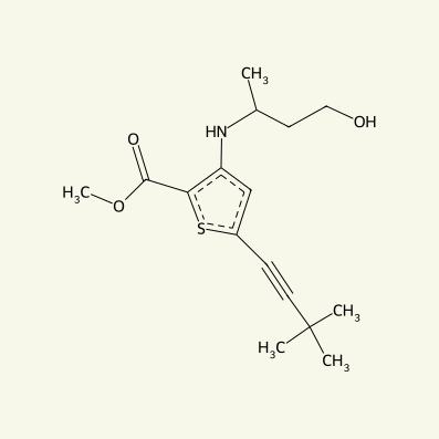 COC(=O)c1sc(C#CC(C)(C)C)cc1NC(C)CCO